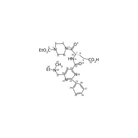 CCOC(=O)N1CCN(C(=O)[C@H](CCC(=O)O)NC(=O)c2cc(CN(C)CC)nc(-c3ccccc3)n2)CC1